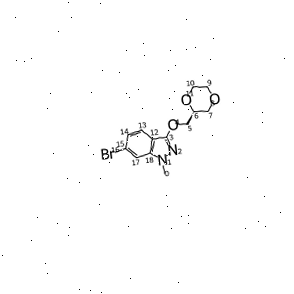 Cn1nc(OC[C@@H]2COCCO2)c2ccc(Br)cc21